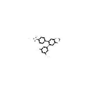 Cc1cc(C)cc(-c2cc3c(cc2-c2ccc(S(C)(=O)=O)cc2)OCO3)c1